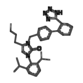 CCCCc1cn(-c2c(C(C)C)cccc2C(C)C)c(=O)n1Cc1ccc(-c2ccccc2-c2nnn[nH]2)cc1